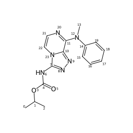 CC(C)OC(=O)Nc1nnc2c(N(C)c3ccccc3)nccn12